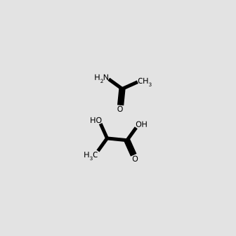 CC(N)=O.CC(O)C(=O)O